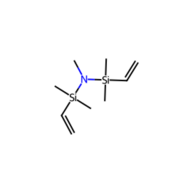 C=C[Si](C)(C)N(C)[Si](C)(C)C=C